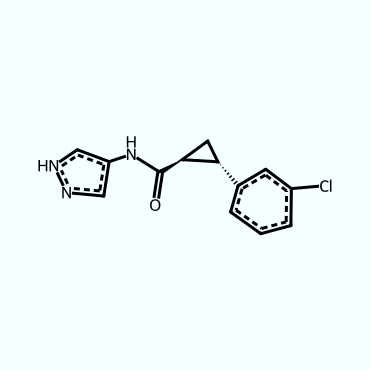 O=C(Nc1cn[nH]c1)[C@H]1C[C@@H]1c1cccc(Cl)c1